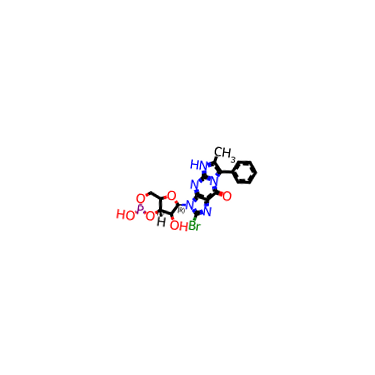 Cc1[nH]c2nc3c(nc(Br)n3[C@@H]3OC4COP(O)O[C@H]4C3O)c(=O)n2c1-c1ccccc1